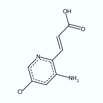 Nc1cc(Cl)cnc1/C=C/C(=O)O